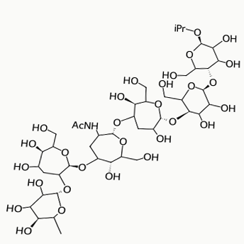 CC(=O)NC1CC(O[C@@H]2OC(CO)[C@H](O)C(O)CC2O[C@@H]2OC(C)[C@@H](O)C(O)C2O)[C@@H](O)C(CO)O[C@H]1OC1CC(O)[C@@H](O[C@H]2C(CO)O[C@@H](O[C@@H]3C(CO)O[C@@H](OC(C)C)C(O)C3O)C(O)C2O)OC(CO)[C@@H]1O